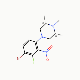 C[C@@H]1CN(c2ccc(Br)c(F)c2[N+](=O)[O-])C[C@H](C)N1C